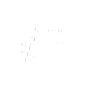 C/C(=C/C(=O)O)C(=O)O.CCCC[n+]1ccn(C)c1.F[B-](F)(F)F